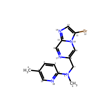 Cc1ccc(N(C)Cc2cn3c(Br)cnc3cn2)nc1